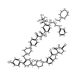 C[C@@]1(CN2CCN(c3ccc4c(c3)C(=O)N(C3CCC(=O)NC3=O)C4)CC2)CCC(c2ccc(Cl)cc2)=C(CN2CCN(c3ccc(C(=O)NS(=O)(=O)c4ccc(N[C@H](CCN5CCCOCC5)CSc5ccccc5)c(S(=O)(=O)C(F)(F)F)c4)cc3)CC2)C1